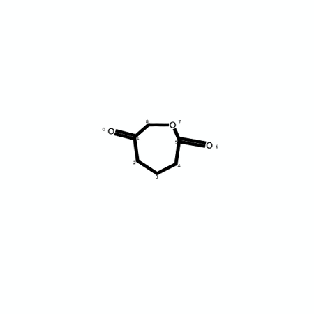 O=C1CCCC(=O)OC1